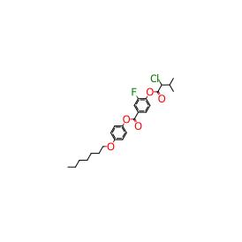 CCCCCCCOc1ccc(OC(=O)c2ccc(OC(=O)C(Cl)C(C)C)c(F)c2)cc1